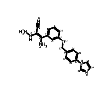 N#C/C(NN)=C(/N)c1cccc(OCc2ccc(-n3ccnc3)cc2)c1